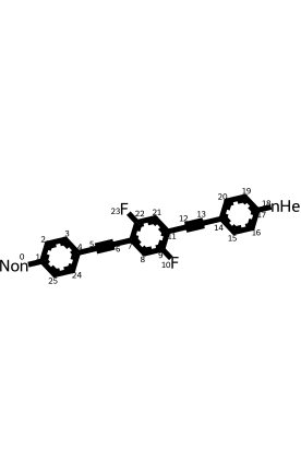 CCCCCCCCCc1ccc(C#Cc2cc(F)c(C#Cc3ccc(CCCCCC)cc3)cc2F)cc1